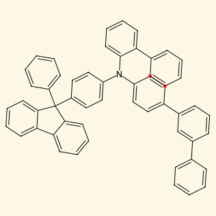 c1ccc(-c2cccc(-c3ccc(N(c4ccc(C5(c6ccccc6)c6ccccc6-c6ccccc65)cc4)c4ccccc4-c4ccccc4)cc3)c2)cc1